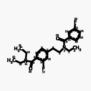 CCN(CCc1ccc(C(=O)N(CC)CC)c(F)c1)C(=O)c1cccc(F)c1